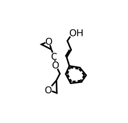 C(OCC1CO1)C1CO1.OCC=Cc1ccccc1